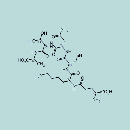 C[C@H](NC(=O)[C@@H](NC(=O)[C@H](CC(N)=O)NC(=O)[C@H](CS)NC(=O)[C@H](CCCCN)NC(=O)CC[C@H](N)C(=O)O)[C@@H](C)O)C(=O)O